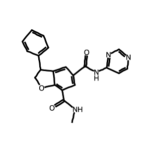 CNC(=O)c1cc(C(=O)Nc2ccncn2)cc2c1OCC2c1ccccc1